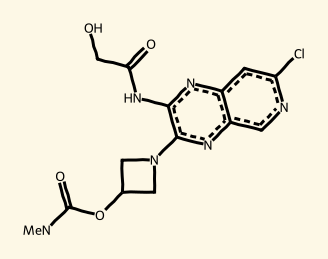 CNC(=O)OC1CN(c2nc3cnc(Cl)cc3nc2NC(=O)CO)C1